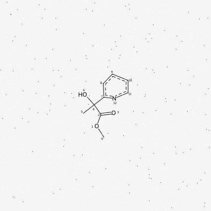 COC(=O)C(C)(O)c1ccccn1